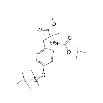 COC(=O)C(C)(Cc1ccc(O[Si](C)(C)C(C)(C)C)cc1)NC(=O)OC(C)(C)C